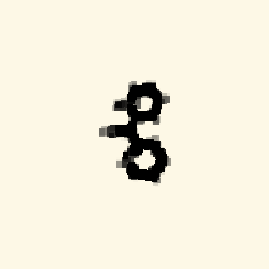 O=C(C1=NCCCC1)[C@@H]1CCC=CN1